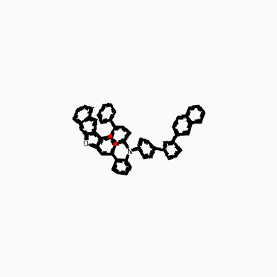 c1ccc(-c2ccc(N(c3ccc(-c4cccc(-c5ccc6ccccc6c5)c4)cc3)c3ccccc3-c3ccc4c(c3)oc3cc5ccccc5cc34)cc2)cc1